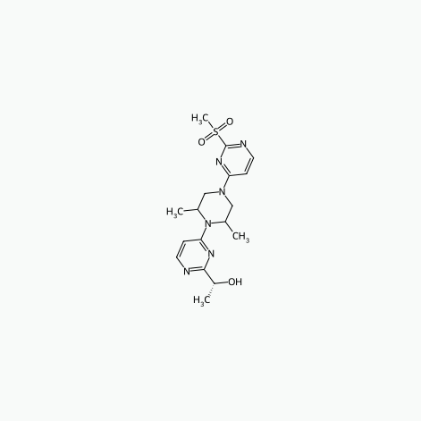 CC1CN(c2ccnc(S(C)(=O)=O)n2)CC(C)N1c1ccnc([C@@H](C)O)n1